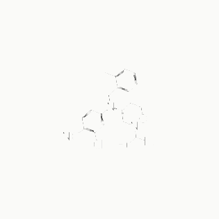 CCC(CC)N1C[C@@H](N(Cc2ccccc2C)c2ccc(C#N)c(Cl)c2)CCO1